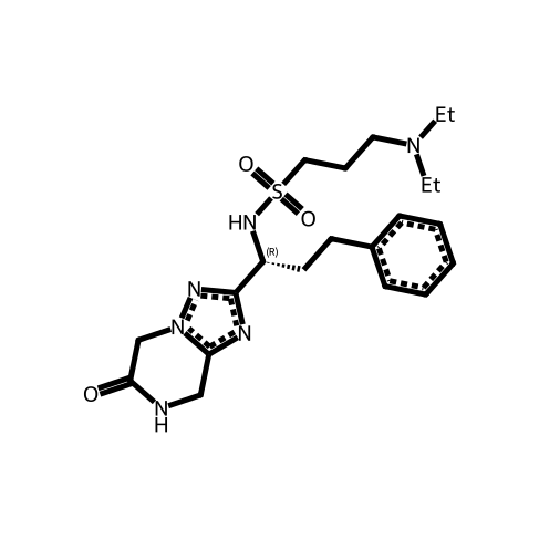 CCN(CC)CCCS(=O)(=O)N[C@H](CCc1ccccc1)c1nc2n(n1)CC(=O)NC2